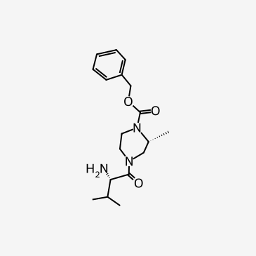 CC(C)[C@H](N)C(=O)N1CCN(C(=O)OCc2ccccc2)[C@H](C)C1